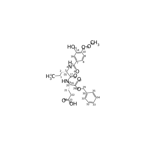 CCC[C@H](NC(=O)c1ccc(OOC)c(O)c1)C(=O)N[C@@H](CCC(=O)O)C(=O)OCc1ccccc1